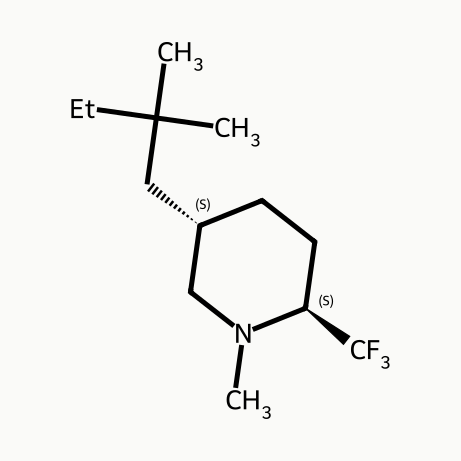 CCC(C)(C)C[C@@H]1CC[C@@H](C(F)(F)F)N(C)C1